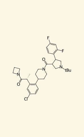 C[C@@H](C(=O)N1CCC1)c1cc(Cl)ccc1C1CCN(C(=O)C2CN(C(C)(C)C)CC2c2ccc(F)cc2F)CC1